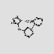 O=C(O)c1nn[nH]c1Oc1cncc(-c2cccnc2)c1